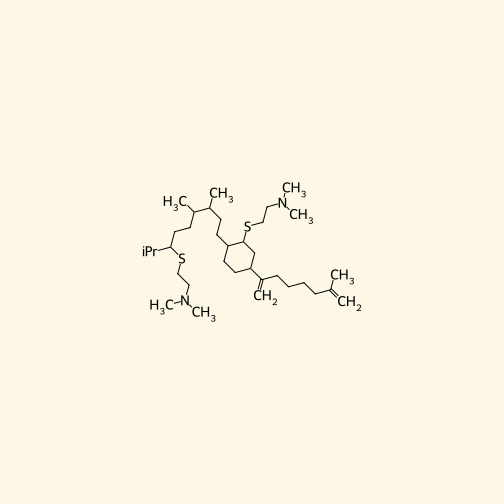 C=C(C)CCCCC(=C)C1CCC(CCC(C)C(C)CCC(SCCN(C)C)C(C)C)C(SCCN(C)C)C1